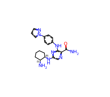 NC(=O)c1ncc(N[C@@H]2CCCC[C@@H]2N)nc1Nc1ccc(-n2cccn2)cc1